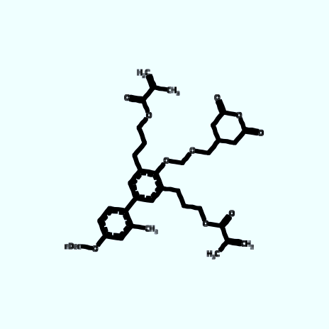 C=C(C)C(=O)OCCCc1cc(-c2ccc(OCCCCCCCCCC)cc2C)cc(CCCOC(=O)C(=C)C)c1OCOCC1CC(=O)OC(=O)C1